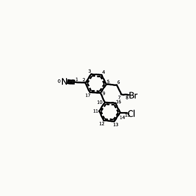 N#Cc1ccc(CCBr)c(-c2cccc(Cl)c2)c1